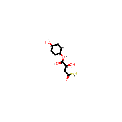 O=C(S)CC(O)C(=O)OC1CCC(O)CC1